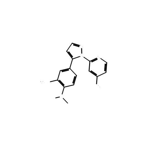 COc1cc(-c2ccnn2-c2cc(C#N)ccn2)ccc1[S+](C)[O-]